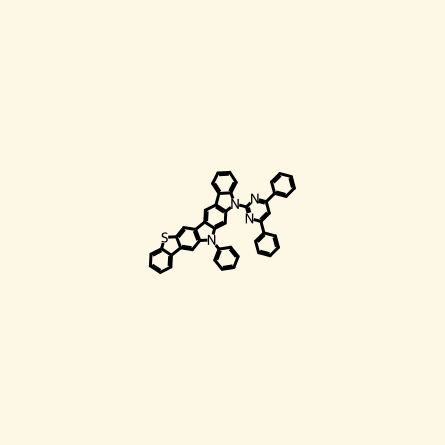 c1ccc(-c2cc(-c3ccccc3)nc(-n3c4ccccc4c4cc5c6cc7sc8ccccc8c7cc6n(-c6ccccc6)c5cc43)n2)cc1